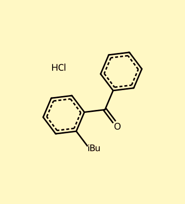 CCC(C)c1ccccc1C(=O)c1ccccc1.Cl